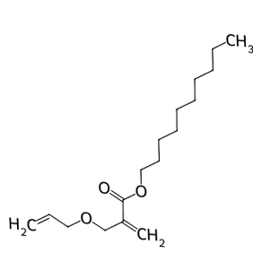 C=CCOCC(=C)C(=O)OCCCCCCCCCC